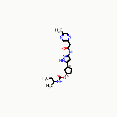 Cc1cnc(CC(=O)Nc2cc([C@H]3CC[C@@H](OC(=O)NC(C)CC(F)(F)F)C3)[nH]n2)cn1